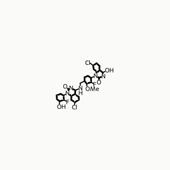 COc1c(CNc2nc(=O)n(-c3cccc(O)c3F)c3cc(Cl)ccc23)ccc(-n2c(=O)nc(O)c3ccc(Cl)cc32)c1F